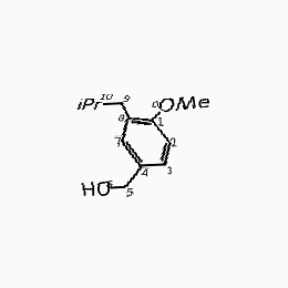 COc1ccc(CO)cc1CC(C)C